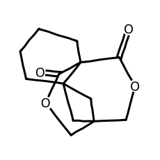 O=C1OCC23COC(=O)C14CCCCC4(C2)C3